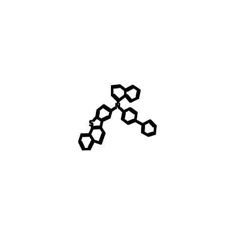 c1ccc(-c2ccc(N(c3ccc4sc5c6ccccc6ccc5c4c3)c3cccc4ccccc34)cc2)cc1